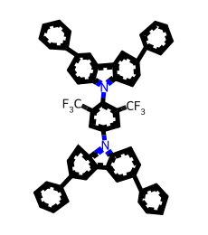 FC(F)(F)c1cc(-n2c3ccc(-c4ccccc4)cc3c3cc(-c4ccccc4)ccc32)cc(C(F)(F)F)c1-n1c2ccc(-c3ccccc3)cc2c2cc(-c3ccccc3)ccc21